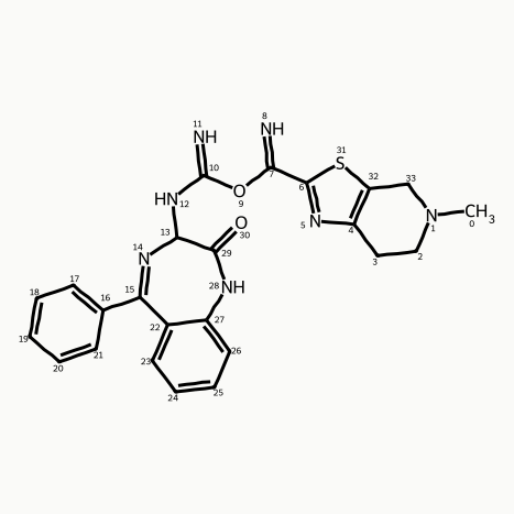 CN1CCc2nc(C(=N)OC(=N)NC3N=C(c4ccccc4)c4ccccc4NC3=O)sc2C1